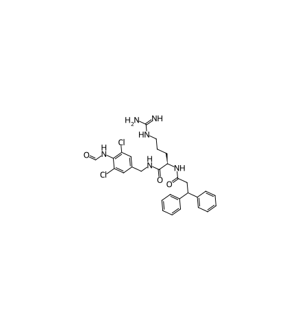 N=C(N)NCCC[C@@H](NC(=O)CC(c1ccccc1)c1ccccc1)C(=O)NCc1cc(Cl)c(NC=O)c(Cl)c1